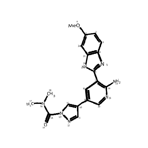 COc1ccc2nc(-c3cc(-c4cnn(C(=O)N(C)C)c4)cnc3N)[nH]c2c1